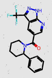 O=C(c1cnc2[nH]nc(C(F)(F)F)c2c1)N1CCCCC1c1ccccc1